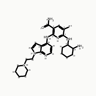 NC(=O)c1cc(F)c(NC2CCCCC2N)nc1Nc1ccnc2c1ccn2CCN1CCCCC1